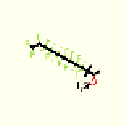 CC(O[SiH3])C(C)(C)C(F)(F)C(F)(F)C(F)(F)C(F)(F)C(F)(F)C(F)(F)C(F)(F)C(F)C(F)F